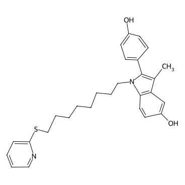 Cc1c(-c2ccc(O)cc2)n(CCCCCCCCSc2ccccn2)c2ccc(O)cc12